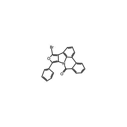 O=c1c2ccccc2c2cccc3c4c(Br)oc(-c5ccccc5)c4n1c23